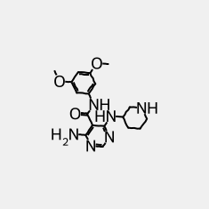 COc1cc(NC(=O)c2c(N)ncnc2NC2CCCNC2)cc(OC)c1